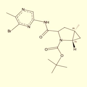 Cc1ncc(NC(=O)C2C[C@@]3(C)C[C@@H]3N2C(=O)OC(C)(C)C)nc1Br